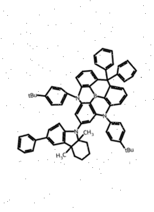 CC(C)(C)c1ccc(N2c3cc(N4c5ccc(-c6ccccc6)cc5C5(C)CCCCC45C)cc4c3B3c5c2cccc5C(c2ccccc2)(c2ccccc2)c2cccc(c23)N4c2ccc(C(C)(C)C)cc2)cc1